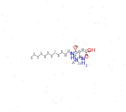 CCCCCCCCCCCCNC(=O)C(CC(=O)O)C(N)[N+](C)(C)C